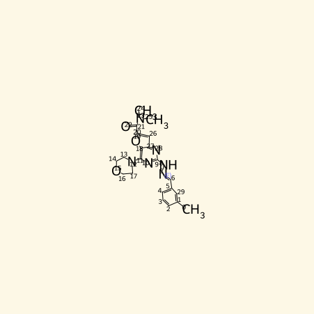 Cc1cccc(/C=N/Nc2nc(N3CCOCC3)c3oc(C(=O)N(C)C)cc3n2)c1